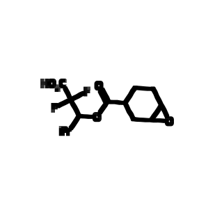 CC(C)C(OC(=O)C1CCC2OC2C1)C(F)(F)C(=O)O